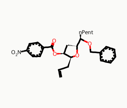 C=CC[C@@H]1O[C@@H]([C@@H](CCCCC)OCc2ccccc2)C[C@@H]1OC(=O)c1ccc([N+](=O)[O-])cc1